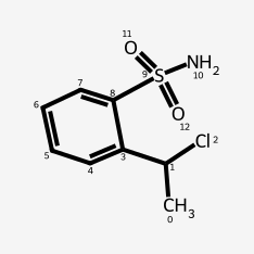 CC(Cl)c1ccccc1S(N)(=O)=O